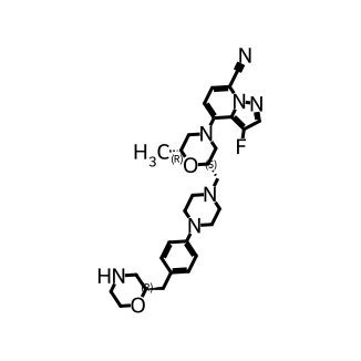 C[C@@H]1CN(c2ccc(C#N)n3ncc(F)c23)C[C@H](CN2CCN(c3ccc(C[C@@H]4CNCCO4)cc3)CC2)O1